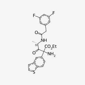 CCOC(=O)C(N)(C(=O)[C@H](C)NC(=O)Cc1cc(F)cc(F)c1)c1ccc2sccc2c1